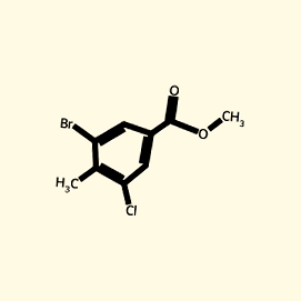 COC(=O)c1cc(Cl)c(C)c(Br)c1